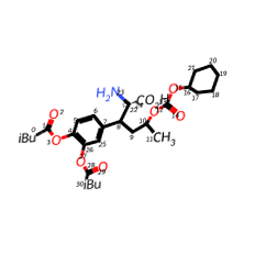 CCC(C)C(=O)Oc1ccc(C(CC(C)OC(=O)OC2CCCCC2)[C@H](N)C(=O)O)cc1OC(=O)C(C)CC